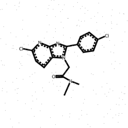 CN(C)C(=O)Cn1c(-c2ccc(Cl)cc2)nc2nc(Cl)ccc21